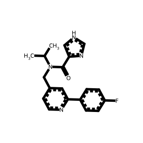 CC(C)N(Cc1ccnc(-c2ccc(F)cc2)c1)C(=O)c1c[nH]cn1